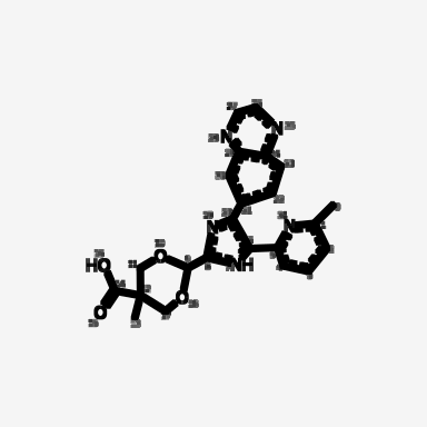 Cc1cccc(-c2[nH]c(C3OCC(C)(C(=O)O)CO3)nc2-c2ccc3nccnc3c2)n1